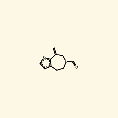 C=C1CN(C=O)CCc2ccsc21